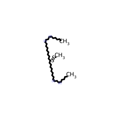 CCCCC/C=C\C/C=C\CCCCCCCCC(CCCCCCCC/C=C\C/C=C\CCCCC)SSCC